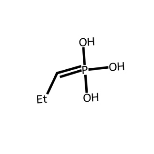 CCC=P(O)(O)O